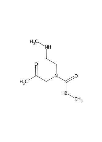 CBC(=O)N(CCNC)CC(C)=O